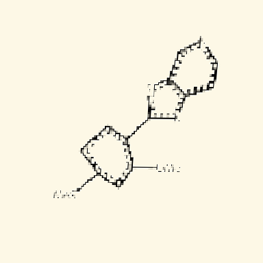 COc1cc(SC)ccc1-c1nc2ccncc2s1